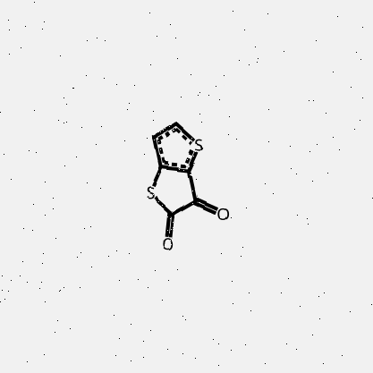 O=C1Sc2ccsc2C1=O